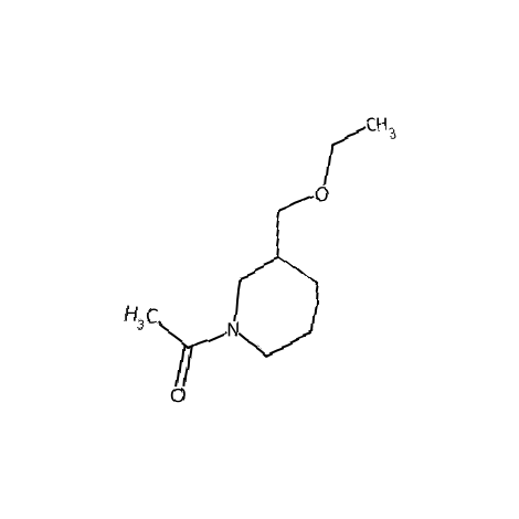 CCOCC1CCCN(C(C)=O)C1